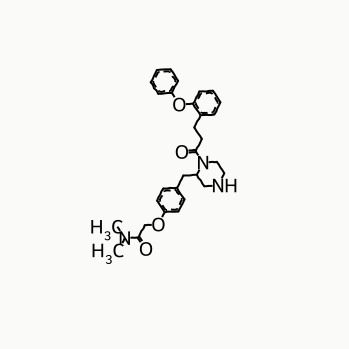 CN(C)C(=O)COc1ccc(CC2CNCCN2C(=O)CCc2ccccc2Oc2ccccc2)cc1